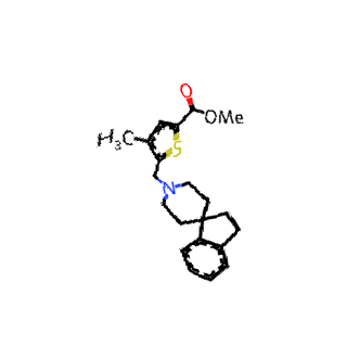 COC(=O)c1cc(C)c(CN2CCC3(CCc4ccccc43)CC2)s1